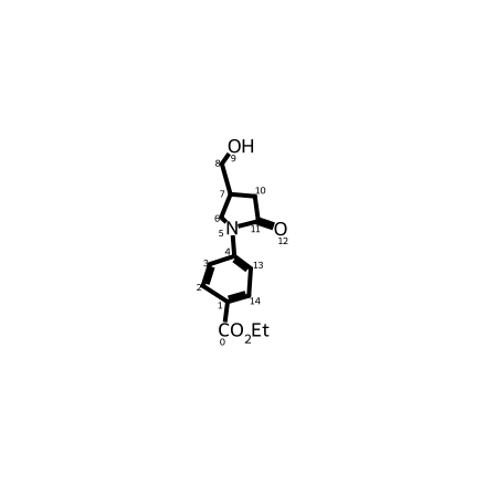 CCOC(=O)c1ccc(N2CC(CO)CC2=O)cc1